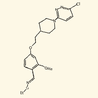 CCON=Cc1ccc(OCCC2CCN(c3ccc(Cl)nn3)CC2)cc1OC